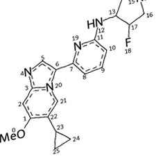 COc1cc2ncc(-c3cccc(NC4CNCC4F)n3)n2cc1C1CC1